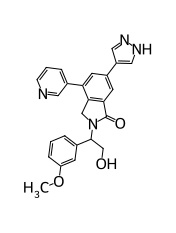 COc1cccc(C(CO)N2Cc3c(cc(-c4cn[nH]c4)cc3-c3cccnc3)C2=O)c1